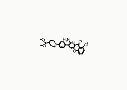 COC(OC)C1CCN(c2ccc(-c3cc4oc5cccc(Cl)c5c(=O)c4nc3N)cc2)CC1